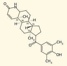 Cc1cc(C(=O)C2CC[C@H]3[C@@H]4CCC5NC(=O)C=C[C@]5(C)[C@@H]4CC[C@]23C)cc(C)c1O